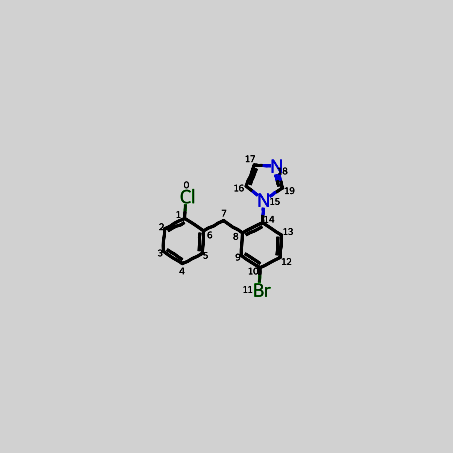 Clc1ccccc1Cc1cc(Br)ccc1-n1ccnc1